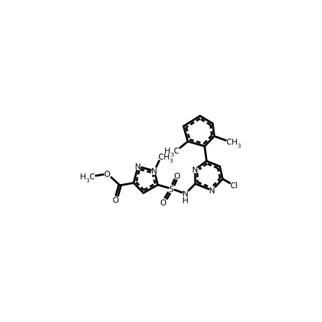 COC(=O)c1cc(S(=O)(=O)Nc2nc(Cl)cc(-c3c(C)cccc3C)n2)n(C)n1